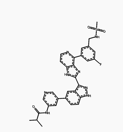 CC(C)C(=O)Nc1cncc(-c2ccc3[nH]nc(-c4nc5c(-c6cc(F)cc(CNS(C)(=O)=O)c6)nccc5[nH]4)c3c2)c1